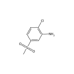 CS(=O)(=O)c1ccc(Cl)c(N)c1